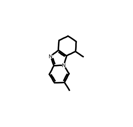 Cc1ccc2nc3c(n2c1)C(C)CCC3